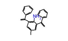 C=C(c1ccccc1)c1cc(C)cc(C(=C)c2ccccc2)c1N